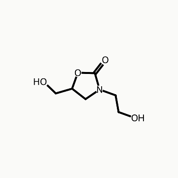 O=C1OC(CO)CN1CCO